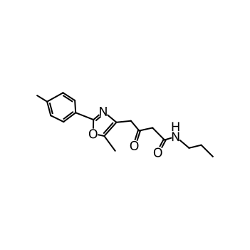 CCCNC(=O)CC(=O)Cc1nc(-c2ccc(C)cc2)oc1C